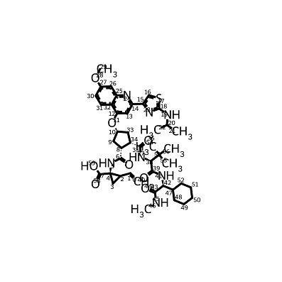 C=CC1C[C@]1(NC(=O)[C@@H]1C[C@H](Oc2cc(-c3csc(NC(C)C)n3)nc3cc(OC)ccc23)C[C@@H]1C(=O)N[C@H](C(=O)N[C@H](C(=O)NC)C1CCCCC1)C(C)(C)C)C(=O)O